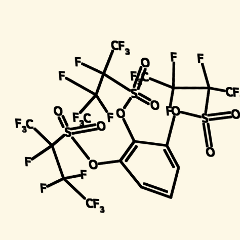 O=S(=O)(Oc1cccc(OS(=O)(=O)C(F)(C(F)(F)F)C(F)(F)C(F)(F)F)c1OS(=O)(=O)C(F)(C(F)(F)F)C(F)(F)C(F)(F)F)C(F)(C(F)(F)F)C(F)(F)C(F)(F)F